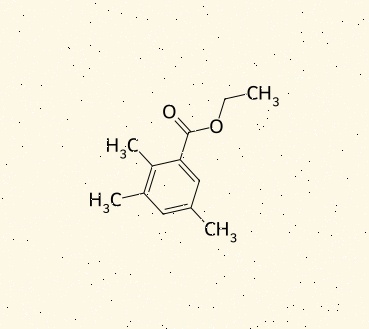 CCOC(=O)c1cc(C)cc(C)c1C